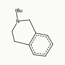 CC(C)(C)N1CCc2ccccc2C1